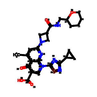 Cc1cc(N2CC(C(=O)NCC3CCCCO3)C2)nc2c1c(=O)c(C(=O)O)cn2-c1nc(C2CC2)ns1